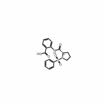 O=C(O)c1ccccc1NC(=O)[C@H]1CCCN1S(=O)(=O)c1ccccc1